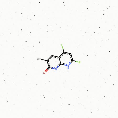 CC(C)c1cc2c(F)cc(F)[nH]c-2nc1=O